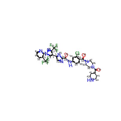 Cn1c(-c2cn(-c3ncccc3C(F)(F)F)nc2C(F)(F)F)cnc1C(=O)Nc1ccc(C(=O)N2CCN(C(=O)C3CCNCC3)CC2)c(Cl)c1